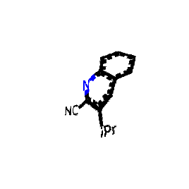 CC(C)c1cc2ccccc2nc1C#N